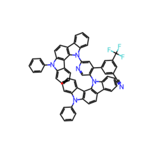 N#Cc1cc(-c2cc(-n3c4ccccc4c4ccc5c(c6ccccc6n5-c5ccccc5)c43)ncc2-n2c3ccccc3c3ccc4c(c5ccccc5n4-c4ccccc4)c32)cc(C(F)(F)F)c1